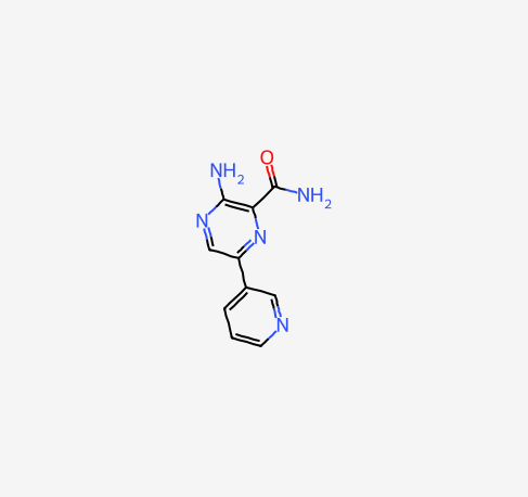 NC(=O)c1nc(-c2cccnc2)cnc1N